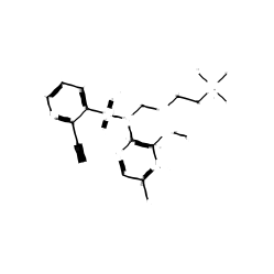 C#Cc1ncccc1S(=O)(=O)N(COCC[Si](C)(C)C)c1ncc(C)nc1OC